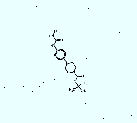 CNC(=O)Nc1ccc(N2CCN(C(=O)OC(C)(C)C)CC2)cn1